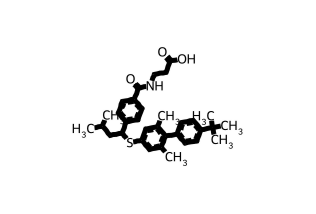 Cc1cc(SC(CC(C)C)c2ccc(C(=O)NCCC(=O)O)cc2)cc(C)c1-c1ccc(C(C)(C)C)cc1